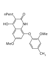 CCCCCc1c(O)c2cc(OC)cc(Oc3ccc(C)cc3OC)c2[nH]c1=O